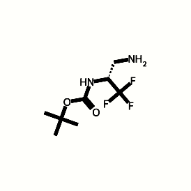 CC(C)(C)OC(=O)N[C@H](CN)C(F)(F)F